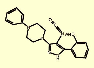 COc1ccccc1-c1[nH]nc(N2CCN(c3ccccc3)CC2)c1N=C=O